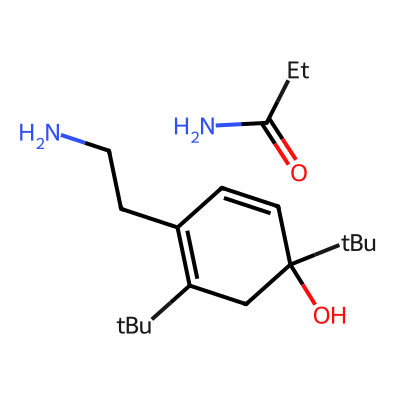 CC(C)(C)C1=C(CCN)C=CC(O)(C(C)(C)C)C1.CCC(N)=O